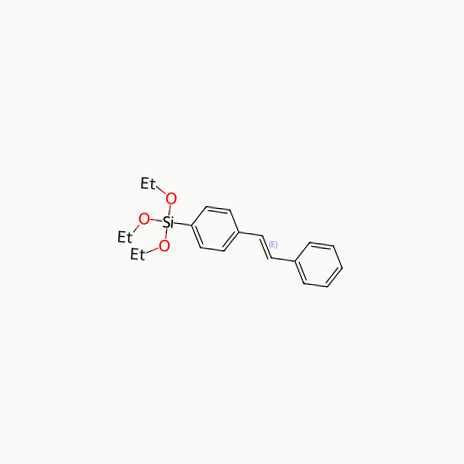 CCO[Si](OCC)(OCC)c1ccc(/C=C/c2ccccc2)cc1